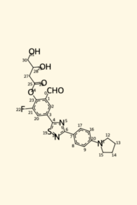 O=Cc1cc(-c2nc(-c3ccc(N4CCCC4)cc3)ns2)cc(F)c1OC(=O)CC(O)CO